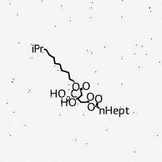 CCCCCCCC(=O)OC(=O)CC(O)(CC(=O)OCCCCCCCCCC(C)C)C(=O)O